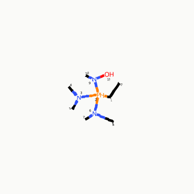 CC[PH](N(C)C)(N(C)C)N(C)O